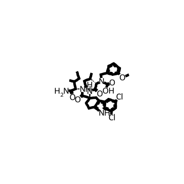 CCC(C)[C@H](NC(=O)[C@@]1(NC(=O)[C@H](C(C)CC)N(Cc2cccc(OC)c2)C(=O)O)CCc2[nH]c3c(Cl)cc(Cl)cc3c2C1)C(N)=O